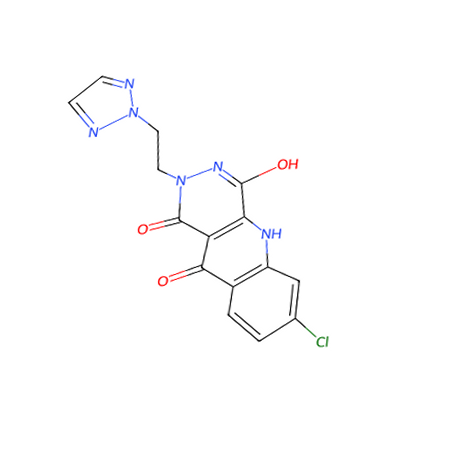 O=c1c2ccc(Cl)cc2[nH]c2c(O)nn(CCn3nccn3)c(=O)c12